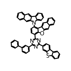 c1ccc(-c2cccc(-c3nc(-c4ccc5c(c4)sc4ccccc45)nc(-c4ccc(-n5c6ccccc6c6cc7ccccc7cc65)c5c4oc4cc6ccccc6cc45)n3)c2)cc1